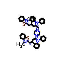 CN1/C(=C\C2=CC(=C\N3CCN(C4=C/C(=C\c5sc6ccccc6[n+]5C)c5ccccc5N4c4ccccc4)CC3)/N(c3ccccc3)c3ccccc32)Sc2ccccc21